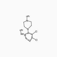 CCCN.CCCN1CCN(c2cccc(Cl)c2Cl)CC1